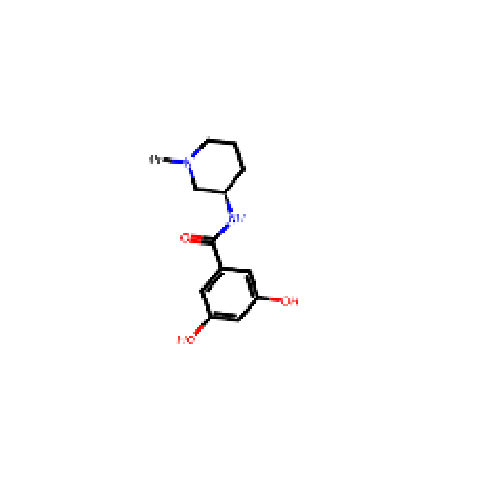 CC(C)N1CCC[C@@H](NC(=O)c2cc(O)cc(O)c2)C1